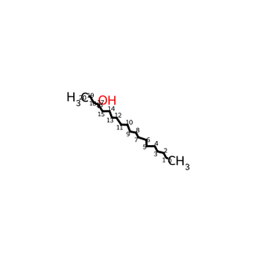 CCCCCCCCCCCCCCCC[C](O)CCC